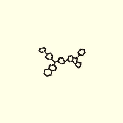 C1=Cc2ccc(C(c3ccc(-c4ccccc4)cc3)c3ccc(-c4ccc5c(c4)c4ccccc4n5-c4ccccc4)cc3)cc2CC1